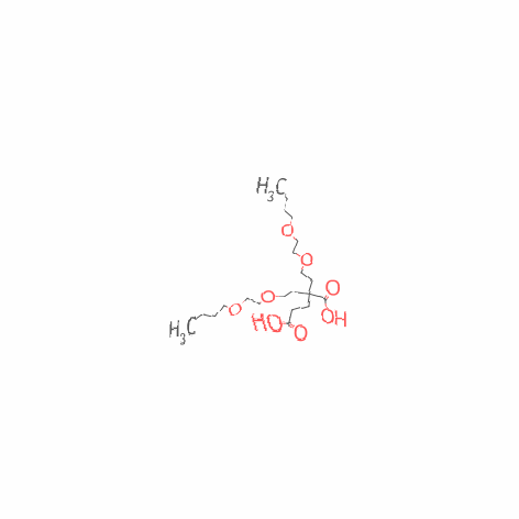 CCCCOCCOCCC(CCOCCOCCCC)(CCC(=O)O)C(=O)O